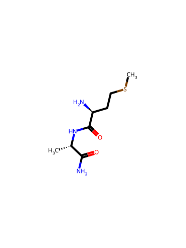 CSCC[C@H](N)C(=O)N[C@@H](C)C(N)=O